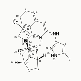 Cc1cc(Nc2cc3ncccc3c(N[C@@H]3C[C@H]4CC[C@@H](C3)N4S(=O)(=O)N3CC(C#N)C3)n2)n[nH]1